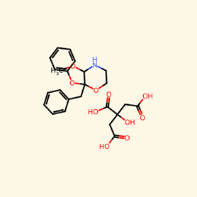 COC1NCCOC1(Cc1ccccc1)Oc1ccccc1.O=C(O)CC(O)(CC(=O)O)C(=O)O